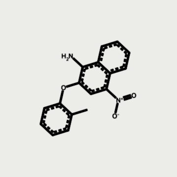 Cc1ccccc1Oc1cc([N+](=O)[O-])c2ccccc2c1N